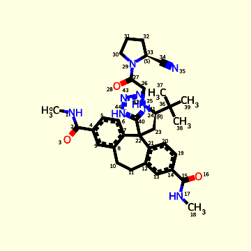 CNC(=O)c1ccc2c(c1)CCc1cc(C(=O)NC)ccc1C2(C[C@@H](NCC(=O)N1CCC[C@H]1C#N)C(C)(C)C)c1nnn[nH]1